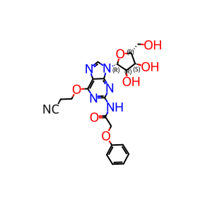 N#CCCOc1nc(NC(=O)COc2ccccc2)nc2c1ncn2[C@@H]1O[C@H](CO)[C@@H](O)[C@H]1O